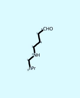 CCCCNCCCC=O